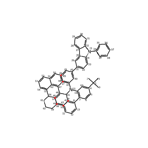 CC(C)(C)c1ccc(-c2ccccc2)c(N(c2cccc(-c3ccc4c(c3)c3ccccc3n4-c3ccccc3)c2)C2CC=CC=C2c2cccc3cccc(C4CCCCC4)c23)c1